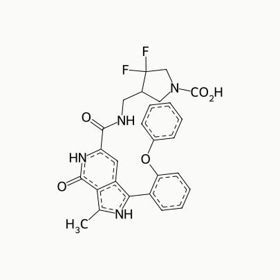 Cc1[nH]c(-c2ccccc2Oc2ccccc2)c2cc(C(=O)NCC3CN(C(=O)O)CC3(F)F)[nH]c(=O)c12